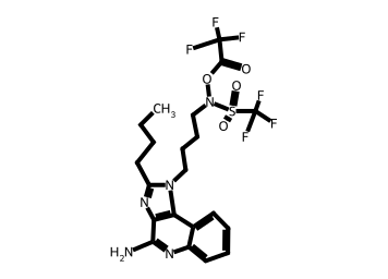 CCCCc1nc2c(N)nc3ccccc3c2n1CCCCN(OC(=O)C(F)(F)F)S(=O)(=O)C(F)(F)F